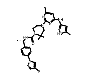 Cc1cc(Nc2cc(C)[nH]n2)nc(N2CCN(C(=O)N[C@@H](C)c3ccc(-n4cc(F)cn4)nc3)C(C)(C)C2)n1